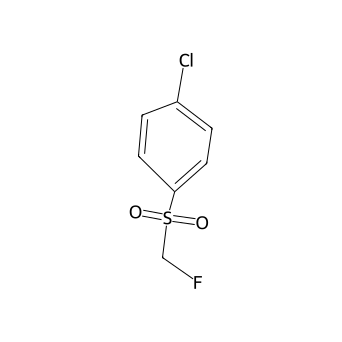 O=S(=O)(CF)c1ccc(Cl)cc1